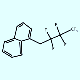 FC(F)(F)C(F)(F)C(F)(F)[CH]c1cccc2ccccc12